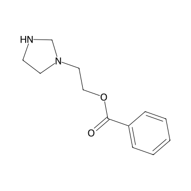 O=C(OCCN1CCNC1)c1ccccc1